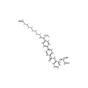 CCCCCCCCCCCCCCCCCCOC(C)c1ccc(-c2ccc(C(=O)Oc3ccccc3OC(CCC)CCCCCCCC)cc2)cc1